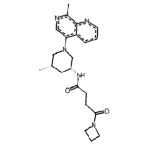 Cc1ncc(N2C[C@@H](C)C[C@@H](NC(=O)CCC(=O)N3CCC3)C2)c2cccnc12